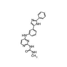 CNC(=O)Nc1nccc(Nc2cccc(-c3cnc(-c4ccccc4)[nH]3)c2)n1